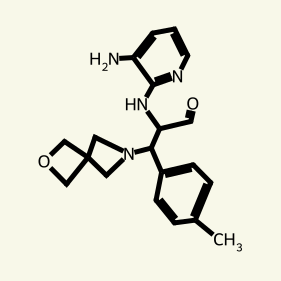 Cc1ccc(C(C(C=O)Nc2ncccc2N)N2CC3(COC3)C2)cc1